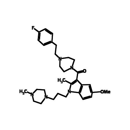 COc1ccc2c(c1)c(C(=O)N1CCN(CCc3ccc(F)cc3)CC1)c(C)n2CCCN1CCN(C)CC1